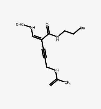 C=C(NCC#C/C(=C/NC=O)C(=O)NCCC(C)CC)C(F)(F)F